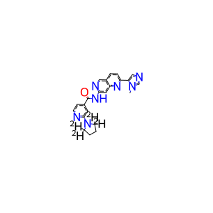 [2H]C1([2H])CCC([2H])([2H])N1c1cc(C(=O)Nc2cc3nc(-c4cncn4C)ccc3cn2)ccn1